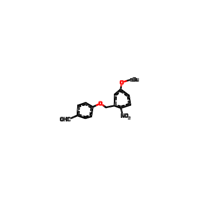 CCCCOc1ccc([N+](=O)[O-])c(COc2ccc(C=O)cc2)c1